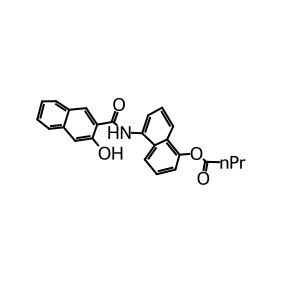 CCCC(=O)Oc1cccc2c(NC(=O)c3cc4ccccc4cc3O)cccc12